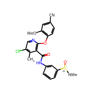 CN[S@+]([O-])c1cccc(NC(=O)c2c(Oc3ccc(C#N)cc3OC)ncc(Cl)c2C)c1